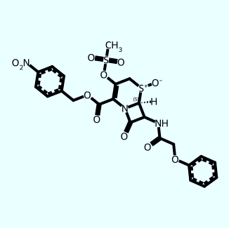 CS(=O)(=O)OC1=C(C(=O)OCc2ccc([N+](=O)[O-])cc2)N2C(=O)C(NC(=O)COc3ccccc3)[C@@H]2[S+]([O-])C1